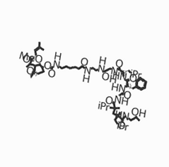 COC1C(OC(=O)NCCCCCC(=O)NCCNC(=O)CNC(=O)[C@H](CC(C)C)NC(=O)[C@H](Cc2ccccc2)NC(=O)CNC(=O)C(C)(CC(C)(CC(C)C)C(=O)NCC(C)O)C(C)C)CC[C@]2(CO2)C1C1(C)O[C@@H]1CC=C(C)C